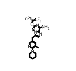 CCC[C@H](Oc1nc(N)c2ncc(Cc3cnc(N4CCCCC4)c(C)c3)n2n1)C(F)(F)F